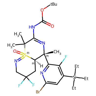 CC[Si](CC)(CC)c1cc(Br)nc([C@@]2(C)N=C(NC(=O)OC(C)(C)C)C(C)(C)[S@@]3(=O)=NCC(F)(F)C[C@H]23)c1F